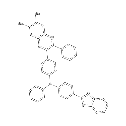 CC(C)(C)c1cc2nc(-c3ccccc3)c(-c3ccc(N(c4ccccc4)c4ccc(-c5nc6ccccc6o5)cc4)cc3)nc2cc1C(C)(C)C